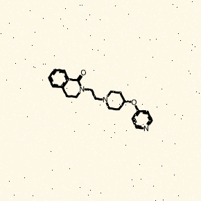 O=C1c2ccccc2CCN1CCN1CCC(Oc2ccncc2)CC1